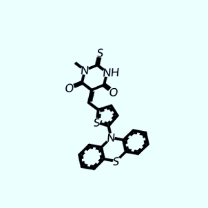 CN1C(=O)/C(=C/c2ccc(N3c4ccccc4Sc4ccccc43)s2)C(=O)NC1=S